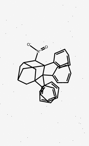 O=[N+]([O-])C1C2CC3CC(c4ccccc4)(C2)C(c2ccccc2)(c2ccccc2)C1(c1ccccc1)C3